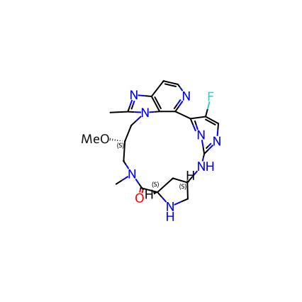 CO[C@H]1CN(C)C(=O)[C@@H]2C[C@@H](CN2)Nc2ncc(F)c(n2)-c2nccc3nc(C)n(c23)C1